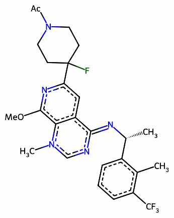 COc1nc(C2(F)CCN(C(C)=O)CC2)cc2/c(=N/[C@H](C)c3cccc(C(F)(F)F)c3C)ncn(C)c12